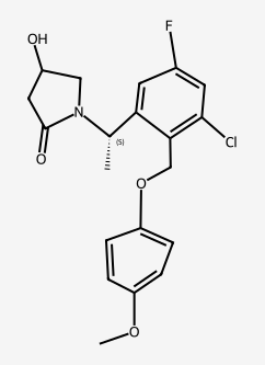 COc1ccc(OCc2c(Cl)cc(F)cc2[C@H](C)N2CC(O)CC2=O)cc1